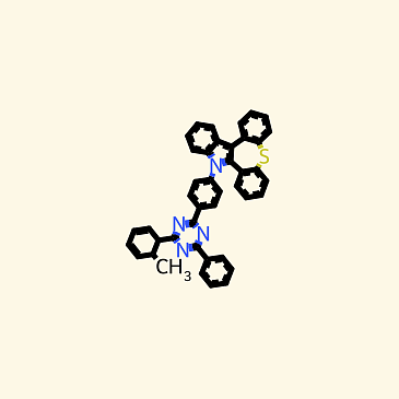 CC1C=CC=CC1c1nc(-c2ccccc2)nc(-c2ccc(-n3c4c(c5ccccc53)-c3ccccc3Sc3ccccc3-4)cc2)n1